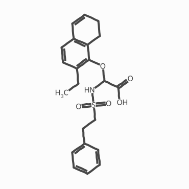 CCc1ccc2c(c1OC(NS(=O)(=O)CCc1ccccc1)C(=O)O)CCC=C2